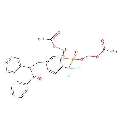 CC(C)(C)C(=O)OCOP(=O)(OCOC(=O)C(C)(C)C)C(F)(F)c1ccc(CC(C(=O)c2ccccc2)c2ccccc2)cc1Br